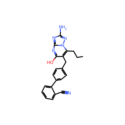 CCCc1c(Cc2ccc(-c3ccccc3C#N)cc2)c(O)nc2nc(N)nn12